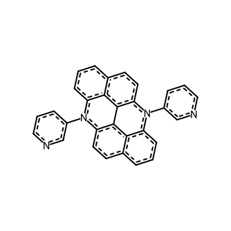 c1cncc(-n2c3ccc4cccc5c4c3-c3c4c(cccc42)ccc3n5-c2cccnc2)c1